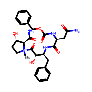 CC(C)(C)[N+]1(C(=O)[C@@H](O)[C@H](Cc2ccccc2)NC(=O)[C@H](CC(N)=O)NC(=O)OCc2ccccc2)CC[C@H](O)[C@H]1C(N)=O